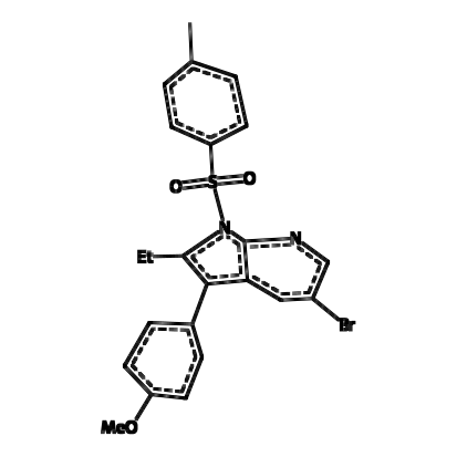 CCc1c(-c2ccc(OC)cc2)c2cc(Br)cnc2n1S(=O)(=O)c1ccc(C)cc1